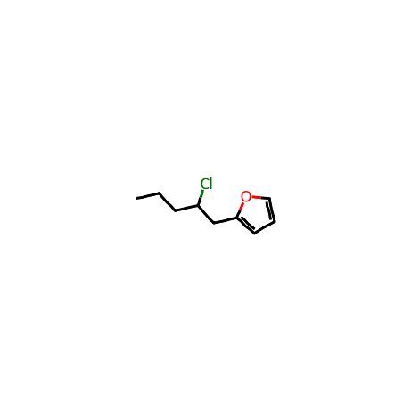 CCCC(Cl)Cc1ccco1